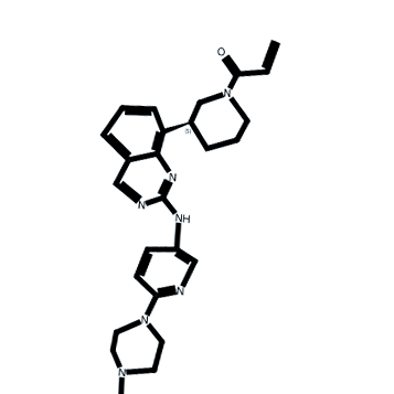 C=CC(=O)N1CCC[C@@H](c2cccc3cnc(Nc4ccc(N5CCN(C)CC5)nc4)nc23)C1